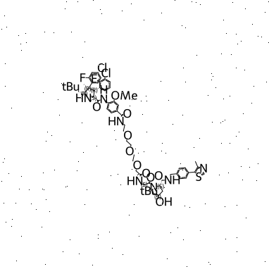 COc1cc(C(=O)NCCOCCOCCOCC(=O)N[C@H](C(=O)N2C[C@H](O)C[C@H]2C(=O)NCc2ccc(-c3scnc3C)cc2)C(C)(C)C)ccc1NC(=O)[C@H]1N[C@H](CC(C)(C)C)[C@@](C)(c2ccc(Cl)cc2F)[C@@H]1c1cccc(Cl)c1F